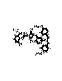 COc1ccc(CN(Cc2ccc(OC)cc2)c2cc(C[C@H]3C(=O)N(C(=O)N[C@H](C)c4cccc(Cl)c4)[C@@H]3C(=O)O)ccn2)cc1